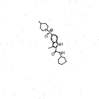 Cc1c(C(=O)NC2CCCCC2)[nH]c2ccc(S(=O)(=O)N3CCC(C)CC3)cc12